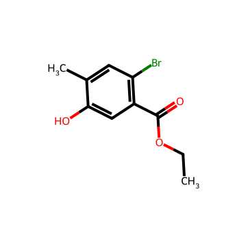 CCOC(=O)c1cc(O)c(C)cc1Br